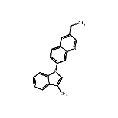 CCc1cnc2cc(-n3cc(C)c4ccccc43)ccc2c1